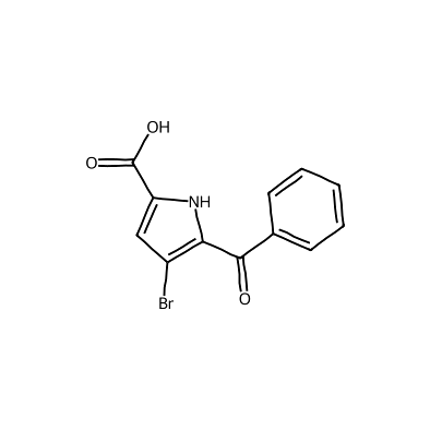 O=C(O)c1cc(Br)c(C(=O)c2ccccc2)[nH]1